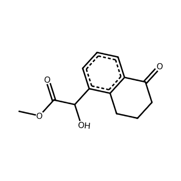 COC(=O)C(O)c1cccc2c1CCCC2=O